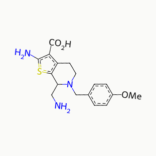 COc1ccc(CN2CCc3c(sc(N)c3C(=O)O)C2CN)cc1